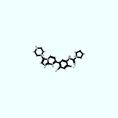 O=C(Nc1cc(-c2ccn3c(N4CCOCC4)cnc3n2)c(F)cc1F)N1CCCC1